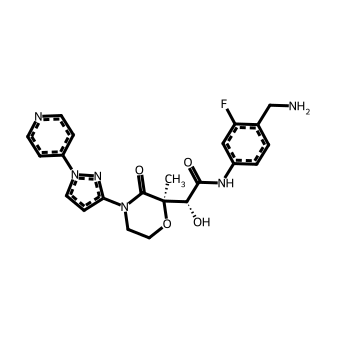 C[C@]1([C@@H](O)C(=O)Nc2ccc(CN)c(F)c2)OCCN(c2ccn(-c3ccncc3)n2)C1=O